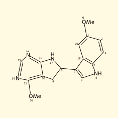 COc1ccc2[nH]cc(C3Cc4c(ncnc4OC)N3)c2c1